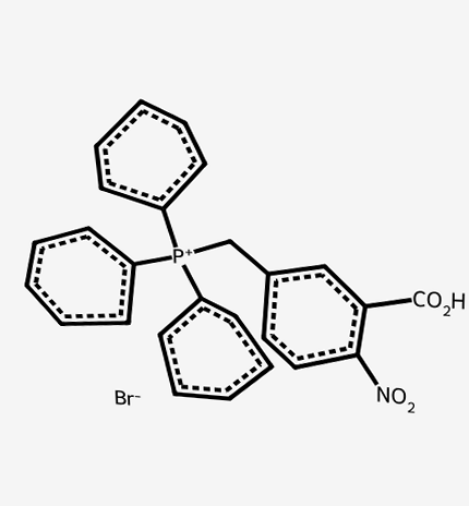 O=C(O)c1cc(C[P+](c2ccccc2)(c2ccccc2)c2ccccc2)ccc1[N+](=O)[O-].[Br-]